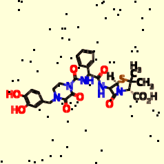 CC1(C)S[C@@H]2[C@H](NC(=O)C(NC(=O)N3CCN(Cc4ccc(O)c(O)c4)C(=O)C3=O)c3ccccc3)C(=O)N2[C@H]1C(=O)O